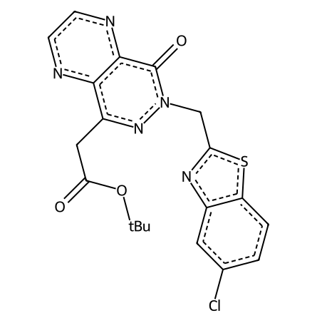 CC(C)(C)OC(=O)Cc1nn(Cc2nc3cc(Cl)ccc3s2)c(=O)c2nccnc12